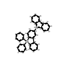 c1ccc([Si]2(c3ccccc3)c3ccccc3-c3cc(-n4c5ccccc5c5ccccc54)ccc32)cc1